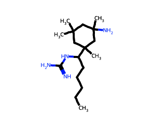 CCCCCC(NC(=N)N)C1(C)CC(C)(C)CC(C)(N)C1